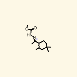 COC(=O)N/N=C(\C)C1CCC(C)(C)CC1C